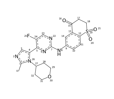 Cc1ncc(-c2nc(Nc3ccc4c(c3)C(=O)CCS4(=O)=O)ncc2F)n1C1CCOCC1